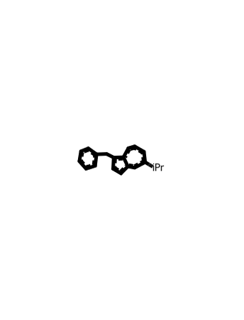 CC(C)c1cccc2c(Cc3ccccc3)ccc-2c1